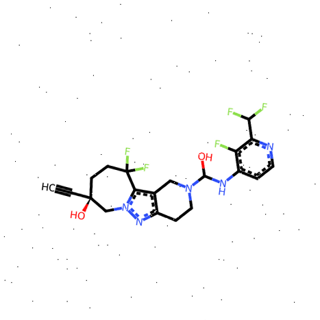 C#C[C@]1(O)CCC(F)(F)c2c3c(nn2C1)CCN(C(O)Nc1ccnc(C(F)F)c1F)C3